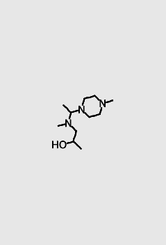 CC(O)CN(C)C(C)N1CCN(C)CC1